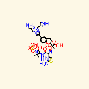 CC(O/N=C(\C(=O)N[C@@H]1C(=O)N(OS(=O)(=O)O)C1(C)C)c1csc(N)n1)(C(=O)O)C1CCc2cc(-c3cn(CCCN)[n+](CC4CNC4)c3)ccc2O1